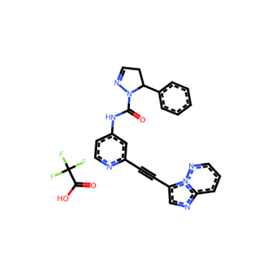 O=C(Nc1ccnc(C#Cc2cnc3cccnn23)c1)N1N=CCC1c1ccccc1.O=C(O)C(F)(F)F